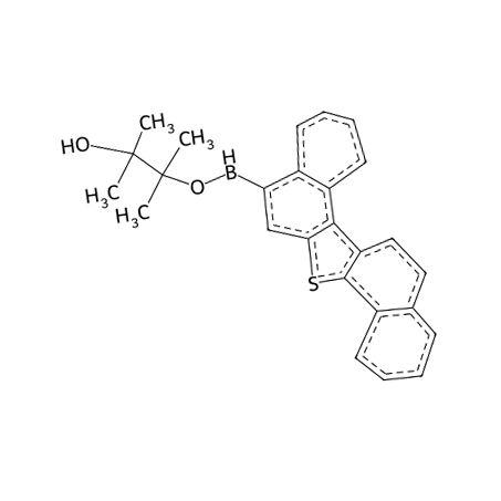 CC(C)(O)C(C)(C)OBc1cc2sc3c4ccccc4ccc3c2c2ccccc12